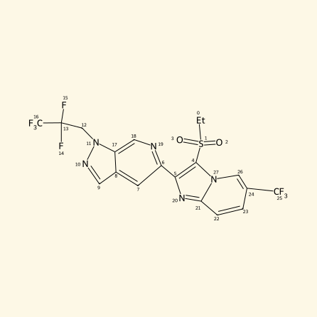 CCS(=O)(=O)c1c(-c2cc3cnn(CC(F)(F)C(F)(F)F)c3cn2)nc2ccc(C(F)(F)F)cn12